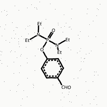 CCN(CC)P(=O)(Oc1ccc(C=O)cc1)N(CC)CC